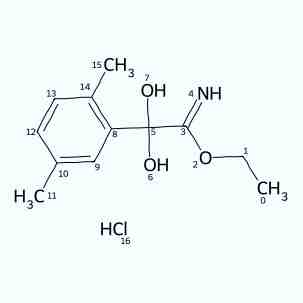 CCOC(=N)C(O)(O)c1cc(C)ccc1C.Cl